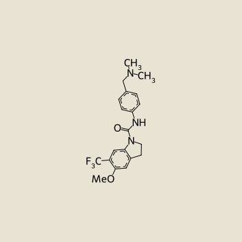 COc1cc2c(cc1C(F)(F)F)N(C(=O)Nc1ccc(CN(C)C)cc1)CC2